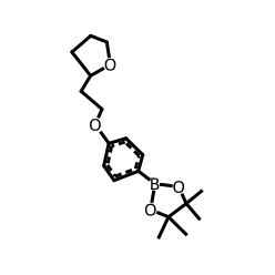 CC1(C)OB(c2ccc(OCCC3CCCO3)cc2)OC1(C)C